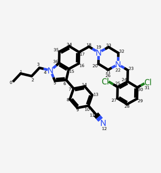 CCCCn1cc(-c2ccc(C#N)cc2)c2cc(CN3CCN(Cc4c(Cl)cccc4Cl)CC3)ccc21